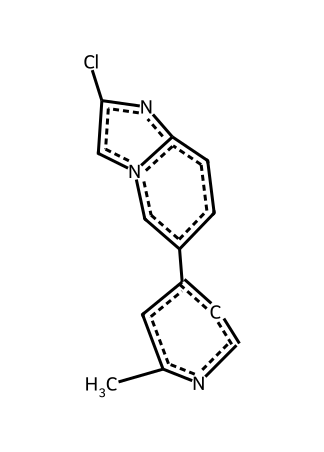 Cc1cc(-c2ccc3nc(Cl)cn3c2)ccn1